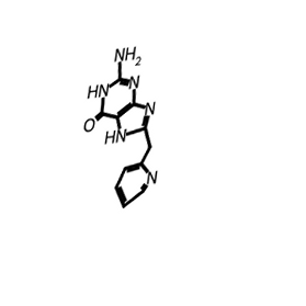 Nc1nc2nc(Cc3ccccn3)[nH]c2c(=O)[nH]1